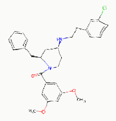 COc1cc(OC)cc(C(=O)N2CC[C@H](NCCc3cccc(Cl)c3)C[C@@H]2Cc2ccccc2)c1